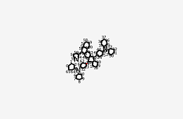 c1ccc(N(c2ccccc2)c2ccc(-c3c4ccccc4c(-c4ccc(N(c5ccccc5)c5ccccc5)cc4)c4cc5c(cc34)c(-c3cccnc3)cc3ccccc35)cc2)cc1